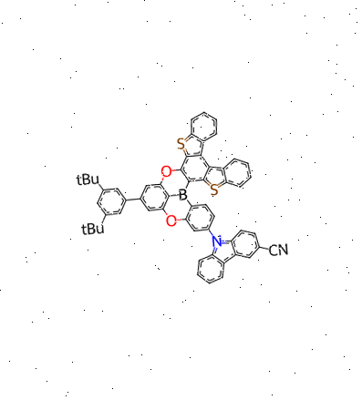 CC(C)(C)c1cc(-c2cc3c4c(c2)Oc2c(c5sc6ccccc6c5c5c2sc2ccccc25)B4c2ccc(-n4c5ccccc5c5cc(C#N)ccc54)cc2O3)cc(C(C)(C)C)c1